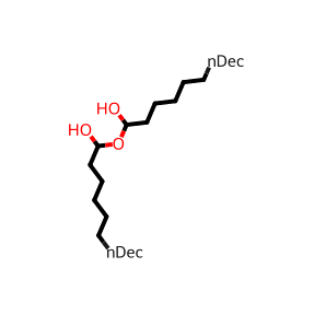 CCCCCCCCCCCCCCCC(O)OC(O)CCCCCCCCCCCCCCC